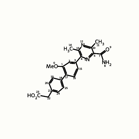 COc1cc(-c2nc(C(N)=O)c(C)nc2C)ccc1-c1ccc(CC(=O)O)cc1